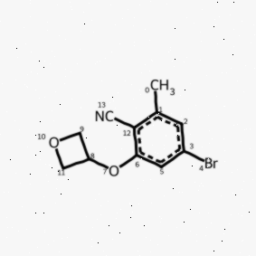 Cc1cc(Br)cc(OC2COC2)c1C#N